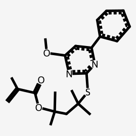 C=C(C)C(=O)OC(C)(C)CC(C)(C)Sc1nc(OC)cc(-c2ccccc2)n1